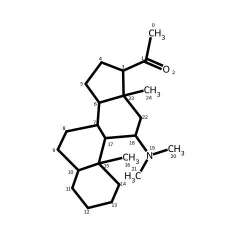 CC(=O)C1CCC2C3CCC4CCCCC4(C)C3C(N(C)C)CC12C